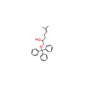 CC(C)=CCCC(O)COC(c1ccccc1)(c1ccccc1)c1ccccc1